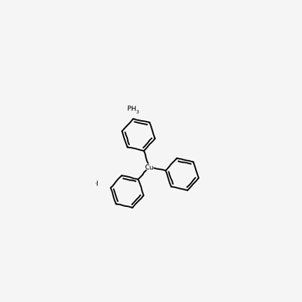 P.[I].c1cc[c]([Cu]([c]2ccccc2)[c]2ccccc2)cc1